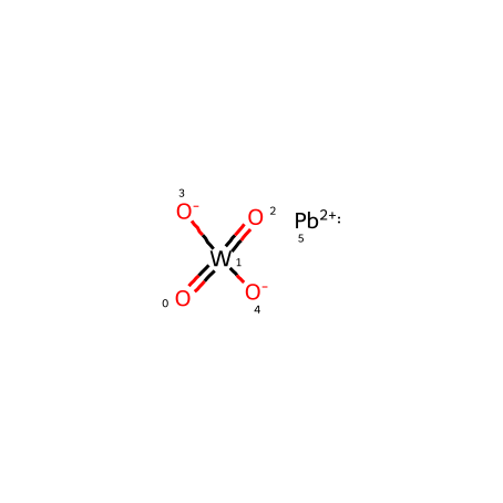 [O]=[W](=[O])([O-])[O-].[Pb+2]